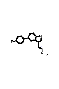 O=[N+]([O-])/C=C/c1c[nH]c2ccc(-c3ccc(F)cc3)cc12